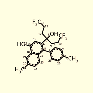 Cc1ccc(-c2c(C(O)(CCC(F)(F)F)CCC(F)(F)F)cc(O)c3cc(C)ccc23)cc1